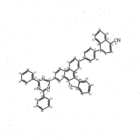 N#Cc1ccc(-c2ccc(-c3ccc4c5ccc(-c6nc(-c7ccccc7)nc(-c7ccccc7)n6)cc5c5oc6ccccc6c5c4c3)cc2)c2ccccc12